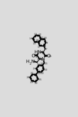 NC[C@H]1C(=O)N[C@@H](Cc2ccc3ccccc3c2)C(=O)N1Cc1ccc(-c2ccccc2)cc1